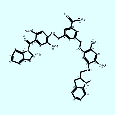 CNc1cc(OCc2cc(COc3cc(NCC4Cc5ccccc5N4C)c(C=O)cc3OC)cc(C(=O)OC)c2)c(OC)cc1C(=O)N1c2ccccc2C[C@H]1C